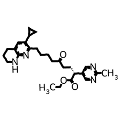 CCOC(=O)[C@H](CCC(=O)CCCCc1nc2c(cc1C1CC1)CCCN2)c1cnc(C)nc1